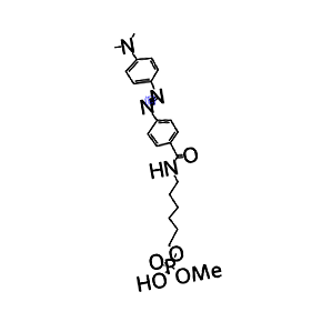 COP(=O)(O)OCCCCCCNC(=O)c1ccc(/N=N/c2ccc(N(C)C)cc2)cc1